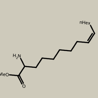 CCCCCC/C=C\CCCCCCC(N)C(=O)OC